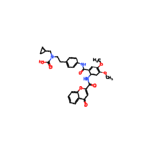 COc1cc(NC(=O)c2cc(=O)c3ccccc3o2)c(C(=O)Nc2ccc(CCN(CC3CC3)C(=O)O)cc2)cc1OC